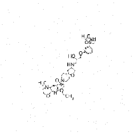 CCOc1nc2c(cc1S(=O)(=O)N1CCC3(CC1)CC(NCC(O)COc1cccc(S(=O)(=O)NC)c1)CO3)N(C)CCO2